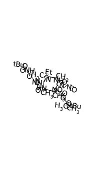 CCC1=C(C)c2cc3[nH]c(cc4nc(c5c6[nH]c(cc1n2)c(C)c6C(=O)N(CCN1CCOCC1)C5=O)[C@@H](CCC(=O)OCCO[Si](C)(C)C(C)(C)C)[C@@H]4C)c(C)c3C(=O)c1cn(CCOCCNC(=O)OC(C)(C)C)nn1